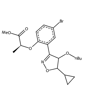 CCCCOC1C(c2cc(Br)ccc2O[C@@H](C)C(=O)OC)=NOC1C1CC1